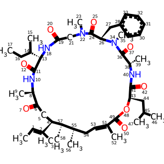 C/C=C(\C)[C@H]1CC(=O)[C@@H](C)NC(=O)[C@H](C(C)CC)NC(=O)CN(C)C(=O)[C@@H](Cc2ccccc2)N(C)C(=O)[C@H](C)NC(=O)[C@@H](CC(C)C)OC(=O)/C(C)=C/C[C@H](C)[C@@H]1C